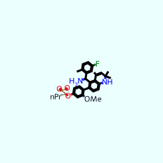 CCCS(=O)(=O)Oc1ccc(-c2ccc3c(c2C(N)c2cc(F)ccc2C)C(C)=CC(C)(C)N3)c(OC)c1